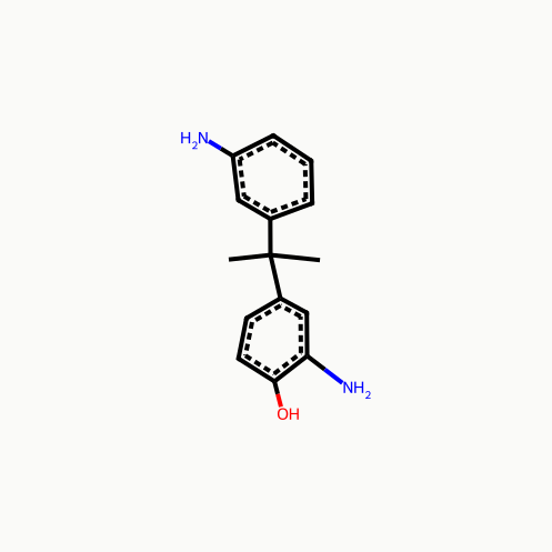 CC(C)(c1cccc(N)c1)c1ccc(O)c(N)c1